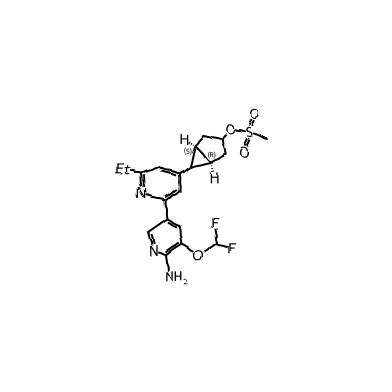 CCc1cc(C2[C@H]3CC(OS(C)(=O)=O)C[C@@H]23)cc(-c2cnc(N)c(OC(F)F)c2)n1